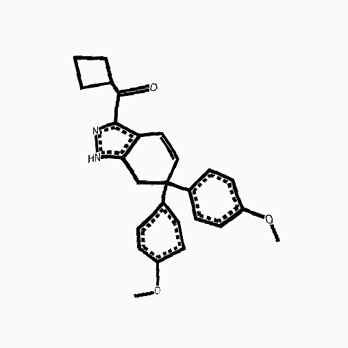 COc1ccc(C2(c3ccc(OC)cc3)C=Cc3c(C(=O)C4CCC4)n[nH]c3C2)cc1